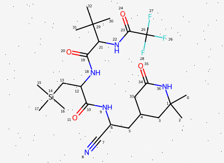 CC1(C)CC(CC(C#N)NC(=O)C(C[Si](C)(C)C)NC(=O)C(NC(=O)C(F)(F)F)C(C)(C)C)CC(=O)N1